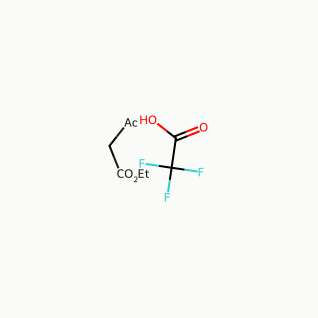 CCOC(=O)CC(C)=O.O=C(O)C(F)(F)F